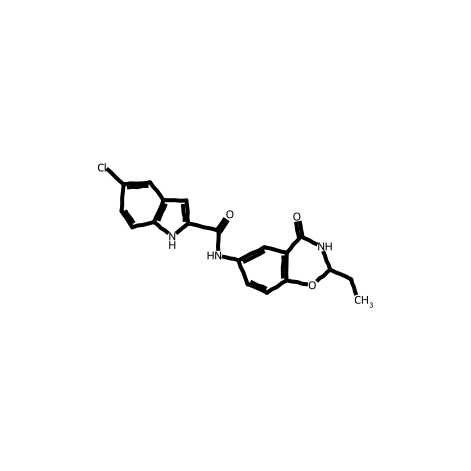 CCC1NC(=O)c2cc(NC(=O)c3cc4cc(Cl)ccc4[nH]3)ccc2O1